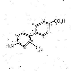 Nc1ccc(-c2ccc(C(=O)O)cc2)c(C(F)(F)F)c1